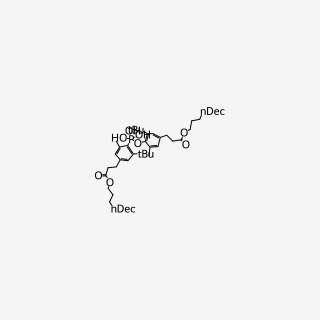 CCCCCCCCCCCCCOC(=O)CCc1cc(C)c(OP(O)(O)(O)c2c(C)cc(CCC(=O)OCCCCCCCCCCCCC)cc2C(C)(C)C)c(C(C)(C)C)c1